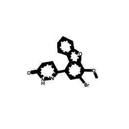 COc1c(Br)cc(-c2ccc(=O)[nH]n2)c2c1oc1ccccc12